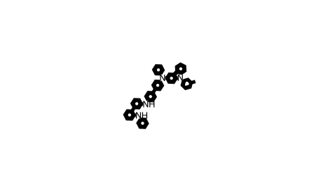 CC1C=CC=C(n2c3ccccc3c3cc(N(c4ccccc4)c4ccc(-c5ccc(Nc6cccc(-c7ccccc7Nc7ccccc7)c6)cc5)cc4)ccc32)C1